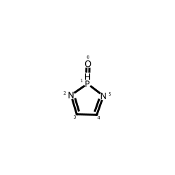 O=[PH]1N=CC=N1